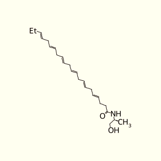 CCC=CCC=CCC=CCC=CCC=CCC=CCCC(=O)N[C@@H](C)CO